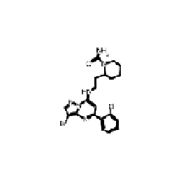 NC(=O)N1CCCCC1CCNc1cc(-c2ccccc2Cl)nc2c(Br)cnn12